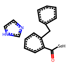 O=C([SeH])c1ccccc1Cc1ccccc1.c1c[nH]cn1